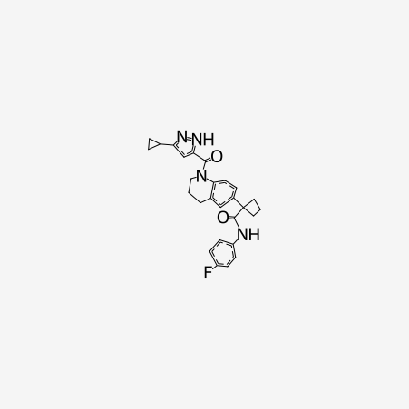 O=C(c1cc(C2CC2)n[nH]1)N1CCCc2cc(C3(C(=O)Nc4ccc(F)cc4)CCC3)ccc21